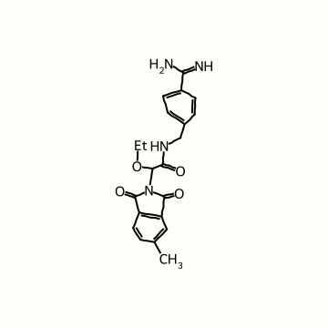 CCOC(C(=O)NCc1ccc(C(=N)N)cc1)N1C(=O)c2ccc(C)cc2C1=O